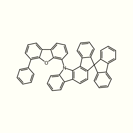 c1ccc(-c2cccc3c2oc2c(-n4c5ccccc5c5ccc6c(c54)-c4ccccc4C64c5ccccc5-c5ccccc54)cccc23)cc1